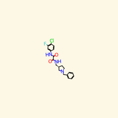 O=C(NC[C@H]1CCN(Cc2ccccc2)C1)C(=O)Nc1ccc(Cl)c(F)c1